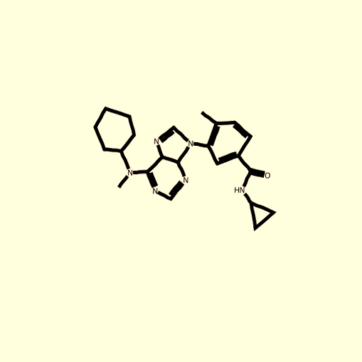 Cc1ccc(C(=O)NC2CC2)cc1N1C=NC2C(N(C)C3CCCCC3)=NC=NC21